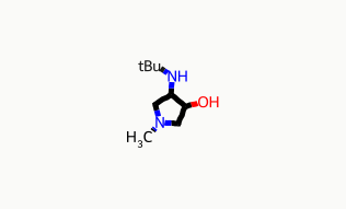 CN1CC(O)C(NC(C)(C)C)C1